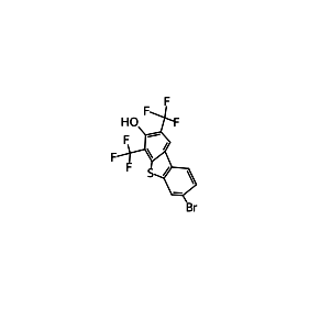 Oc1c(C(F)(F)F)cc2c(sc3cc(Br)ccc32)c1C(F)(F)F